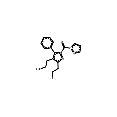 CCCc1nn(C(=O)n2cccn2)c(-c2ccccc2)c1CCC